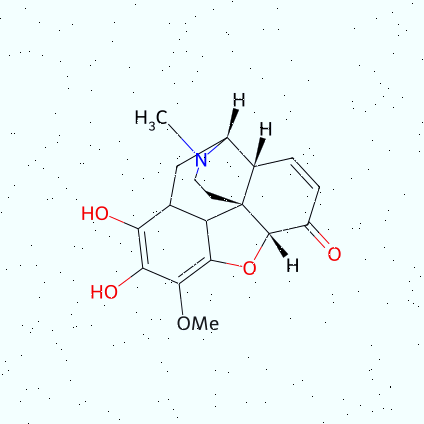 COC1=C2O[C@H]3C(=O)C=C[C@H]4[C@H]5CC(C(O)=C1O)C2[C@@]34CCN5C